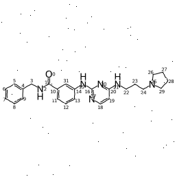 O=C(NCc1ccccc1)c1cccc(Nc2nccc(NCCCN3CCCC3)n2)c1